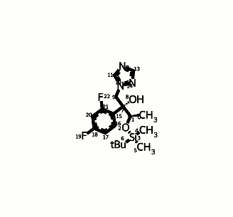 C[C@@H](O[Si](C)(C)C(C)(C)C)[C@](O)(Cn1cncn1)c1ccc(F)cc1F